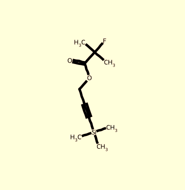 CC(C)(F)C(=O)OCC#C[Si](C)(C)C